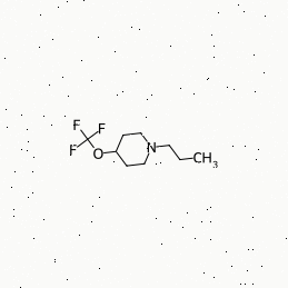 CCCN1CCC(OC(F)(F)F)CC1